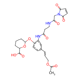 CC(=O)OC/C=C/c1ccc(OC2CCCC(C(=O)O)O2)c(NC(=O)CCNC(=O)CN2C(=O)C=CC2=O)c1